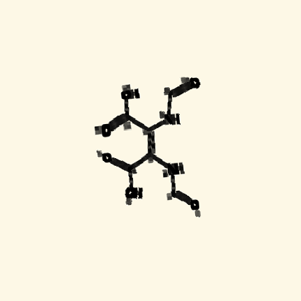 O=CN/C(C(=O)O)=C(\NC=O)C(=O)O